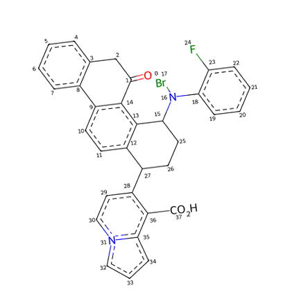 O=C1Cc2ccccc2-c2ccc3c(c21)C(N(Br)c1ccccc1F)CCC3c1ccn2cccc2c1C(=O)O